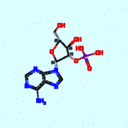 Nc1ncnc2c1ncn2[C@@H]1O[C@H](CO)[C@@H](O)[C@@H]1OP(=O)(O)O